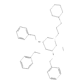 OC[C@@H]1[C@@H](OCc2ccccc2)[C@H](OCc2ccccc2)[C@@H](OCc2ccccc2)CN1CCCC1CCCCC1